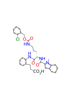 Cn1c(C(=O)N[C@@H](CCCNC(=O)OCc2ccccc2Cl)C(=O)Nc2ccccc2CCC(=O)O)cc2ccccc21